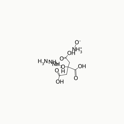 N.N.N.O=C(O)CC(O)(CC(=O)O)C(=O)O.[NH3+][O-]